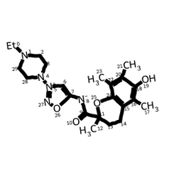 CCN1CCN([n+]2cc([N-]C(=O)C3(C)CCc4c(C)c(O)c(C)c(C)c4O3)on2)CC1